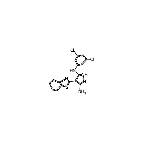 Nc1n[nH]c(Nc2cc(Cl)cc(Cl)c2)c1-c1nc2ccccc2s1